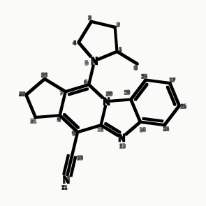 CC1CCCN1c1c2c(c(C#N)c3nc4ccccc4n13)CCC2